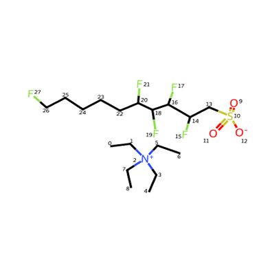 CC[N+](CC)(CC)CC.O=S(=O)([O-])CC(F)C(F)C(F)C(F)CCCCCF